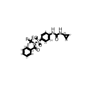 O=C(Nc1ccc(S(=O)(=O)N(C(=O)c2ccccc2)C(F)(F)F)cc1)NC1CC1